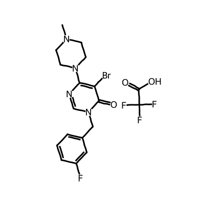 CN1CCN(c2ncn(Cc3cccc(F)c3)c(=O)c2Br)CC1.O=C(O)C(F)(F)F